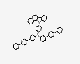 c1ccc(-c2ccc(-c3ccc(N(c4ccc(-n5c6ccccc6c6ccc7ccccc7c65)cc4)c4cccc(-c5ccc(-c6ccccc6)cc5)c4)cc3)cc2)cc1